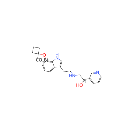 CCOC(=O)C1(Oc2cccc3c(CCNC[C@@H](O)c4cccnc4)c[nH]c23)CCC1